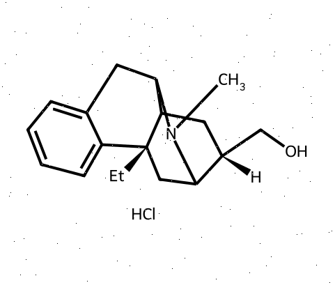 CC[C@]12CC3[C@@H](CO)CC1C(Cc1ccccc12)N3C.Cl